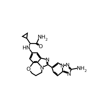 NC(=O)[C@@H](Nc1cc2c3c(c1)nc(-c1ccc4nc(N)nn4c1)n3CCCO2)C1CC1